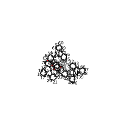 Cc1ccc(C2(c3ccc(C)cc3)c3ccccc3-c3cccc(-c4c5cccc(-c6cccc7c8ccccc8n(-c8ccccc8)c67)c5cc5c(-c6cccc7c8ccccc8n(-c8ccccc8)c67)cccc45)c32)cc1